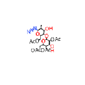 CC(=O)OCC1O[C@@H](N=[N+]=[N-])[C@@H](C)C(O)[C@@H]1O[C@@H]1OC(COC(C)=O)[C@H](OC(C)=O)C(O)[C@@H]1OC(C)=O